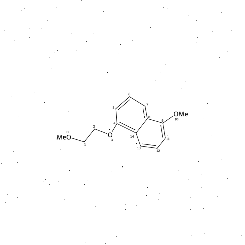 COCCOc1cccc2c(OC)cccc12